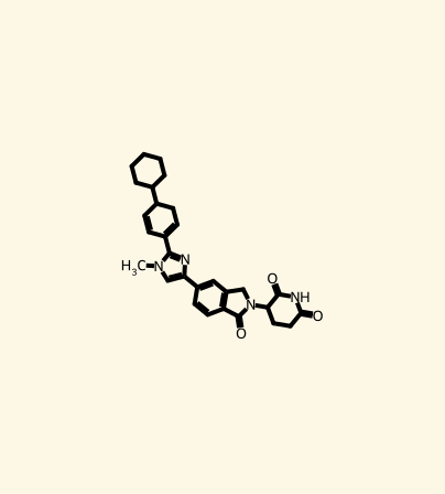 Cn1cc(-c2ccc3c(c2)CN(C2CCC(=O)NC2=O)C3=O)nc1C1=CCC(C2CCCCC2)C=C1